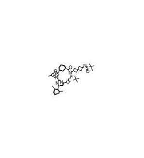 COCN1c2nc(cc(-c3c(C)cccc3C)n2)OC[C@@H](CC(C)(C)C)N(C2CC3(CC(=N[S+]([O-])C(C)(C)C)C3)C2)C(=O)c2cccc(c2)S1(=O)=O